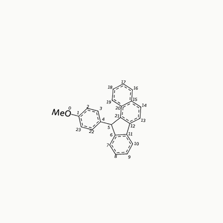 COc1ccc(C2c3ccccc3-c3ccc4ccccc4c32)cc1